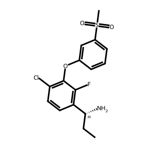 CC[C@@H](N)c1ccc(Cl)c(Oc2cccc(S(C)(=O)=O)c2)c1F